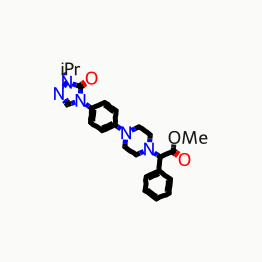 COC(=O)C(c1ccccc1)N1CCN(c2ccc(-n3cnn(C(C)C)c3=O)cc2)CC1